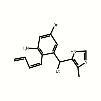 C=C/C=C\c1c(N)cc(Br)cc1C(CC)c1[nH]cnc1C